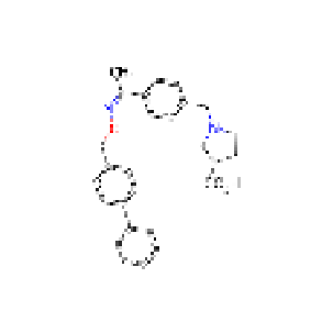 CC(=NOCc1ccc(-c2ccccc2)cc1)c1ccc(CN2CCC(C(=O)O)C2)cc1